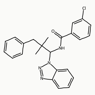 CC(C)(Cc1ccccc1)C(NC(=O)c1cccc(Cl)c1)n1nnc2ccccc21